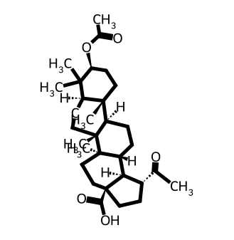 CC(=O)O[C@H]1CC[C@]2(C)[C@H]3CC[C@@H]4[C@H]5[C@H](C(C)=O)CC[C@]5(C(=O)O)CC[C@@]4(C)[C@]3(C)CC[C@H]2C1(C)C